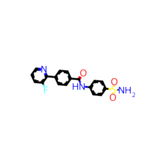 NS(=O)(=O)c1ccc(NC(=O)c2ccc(-c3ncccc3F)cc2)cc1